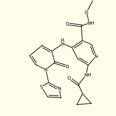 CONC(=O)c1cnc(NC(=O)C2CC2)cc1Nc1cccn(-c2nccs2)c1=O